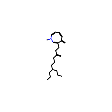 C=C(CCCC(CCC)CCC)CC/C1=C/N(C)/C=C\C=C/C1=C